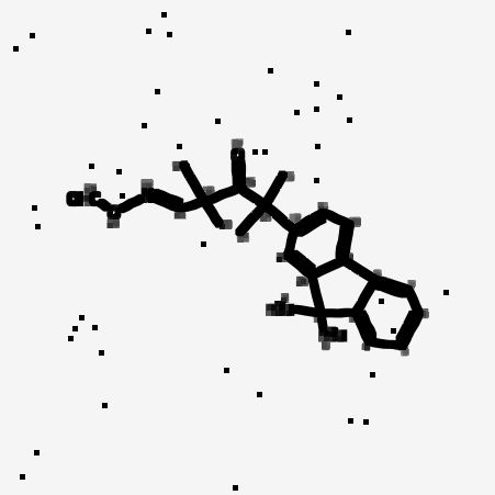 CCCCC1(CCCC)c2ccccc2-c2ccc(C(C)(C)C(=O)C(C)(C)/C=N/OC=O)cc21